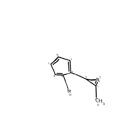 CC1=NC1c1ccccc1Br